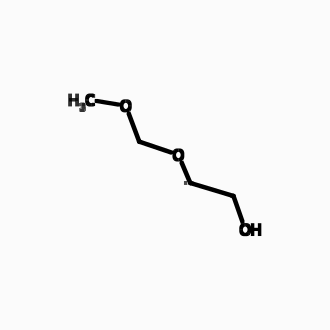 COCO[CH]CO